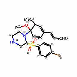 COC1C=C(C=CC=O)C=CC1(OC(C)C)N1CCNCC1S(=O)(=O)c1ccc(Br)cc1